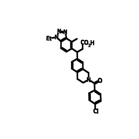 CCn1nnc2c(C)c(C(CC(=O)O)c3ccc4c(c3)CN(C(=O)c3ccc(Cl)cc3)CC4)ccc21